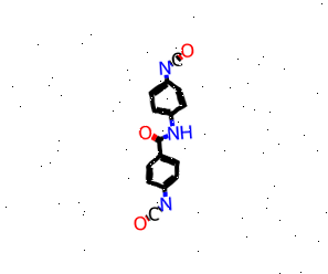 O=C=Nc1ccc(NC(=O)c2ccc(N=C=O)cc2)cc1